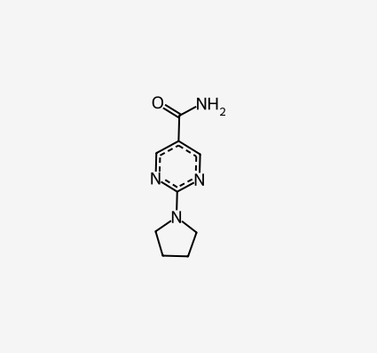 NC(=O)c1cnc(N2CCCC2)nc1